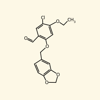 CCOc1cc(OCc2ccc3c(c2)OCO3)c(C=O)cc1Cl